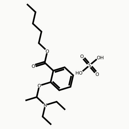 CCCCCOC(=O)c1ccccc1OC(C)N(CC)CC.O=S(=O)(O)O